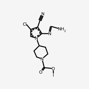 N#Cc1c(Cl)cn(C2CCN(C(=O)OI)CC2)c1/N=C/N